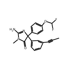 CC#Cc1cccc(C2(c3ccc(OC(F)F)cc3)N=C(N)N(C)C2=O)c1